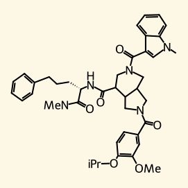 CNC(=O)[C@H](CCCc1ccccc1)NC(=O)C1CN(C(=O)c2cn(C)c3ccccc23)CC2CN(C(=O)c3ccc(OC(C)C)c(OC)c3)CC21